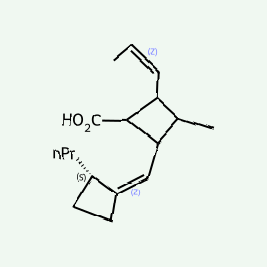 C/C=C\C1C(C)C(/C=C2/CC[C@@H]2CCC)C1C(=O)O